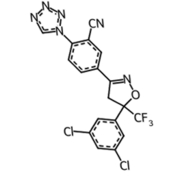 N#Cc1cc(C2=NOC(c3cc(Cl)cc(Cl)c3)(C(F)(F)F)C2)ccc1-n1cnnn1